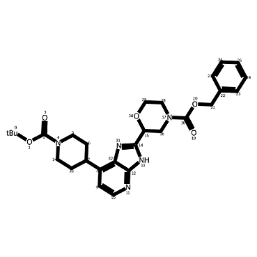 CC(C)(C)OC(=O)N1CCC(c2ccnc3[nH]c(C4CN(C(=O)OCc5ccccc5)CCO4)nc23)CC1